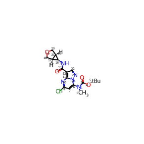 CN(C(=O)OC(C)(C)C)c1cc(Cl)nc2c(C(=O)N[C@H]3[C@@H]4COC[C@@H]43)cnn12